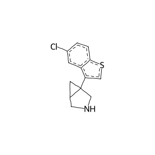 Clc1ccc2scc(C34CNCC3C4)c2c1